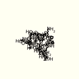 CC[C@H](C)[C@H](NC(=O)[C@H](CO)NC(=O)[C@H](C)NC(=O)CNC(=O)[C@H](CC(C)C)NC(=O)CNC(=O)[C@@H](N)[C@@H](C)O)C(=O)N[C@@H](CC(N)=O)C(=O)N[C@H](C(=O)N[C@@H](C)C(=O)N[C@@H](CCCCN)C(=O)N1CCC[C@H]1C(=O)N1CCC[C@H]1C(=O)N[C@@H](CCCCN)C(=O)NCC(=O)N[C@@H](CO)C(=O)N[C@H](C(=O)N[C@H](C(=O)N[C@@H](C)C(=O)N[C@H](C(=O)O)C(C)C)C(C)C)[C@@H](C)O)C(C)C